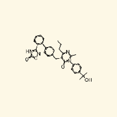 CCCc1nc(C)n(-c2ccc(C(C)(C)O)cc2)c(=O)c1Cc1ccc(-c2ccccc2-c2noc(=O)[nH]2)cc1